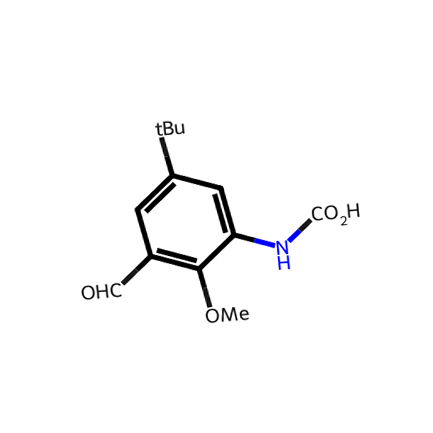 COc1c(C=O)cc(C(C)(C)C)cc1NC(=O)O